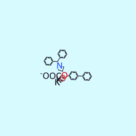 O=C([O-])[O-].[K+].[K+].c1ccc(-c2ccc(OC3CN(C(c4ccccc4)c4ccccc4)C3)cc2)cc1